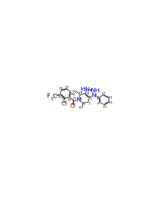 CC1CC2=C(NNN2c2ccccc2)C(C)N1C(=O)c1cccc(C(F)(F)F)c1Cl